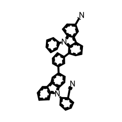 N#Cc1ccc2c(c1)c1cccc(-c3cccc(-c4ccc5c(c4)c4ccccc4n5-c4ccccc4C#N)c3)c1n2-c1ccccc1